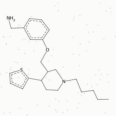 CCCCCN1CCC(c2cccs2)C(COc2cccc(CN)c2)C1